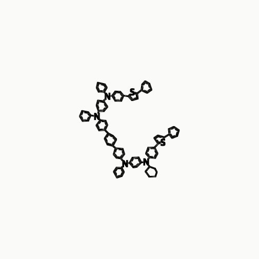 c1ccc(-c2ccc(-c3ccc(N(c4ccccc4)c4ccc(N(c5ccccc5)c5ccc(-c6ccc(-c7ccc(N(c8ccccc8)c8ccc(N(c9ccc(-c%10ccc(-c%11ccccc%11)s%10)cc9)C9CCCCC9)cc8)cc7)cc6)cc5)cc4)cc3)s2)cc1